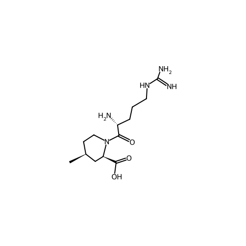 C[C@H]1CCN(C(=O)[C@H](N)CCCNC(=N)N)[C@@H](C(=O)O)C1